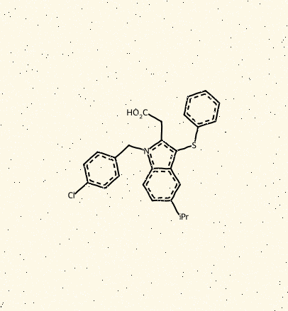 CC(C)c1ccc2c(c1)c(Sc1ccccc1)c(CC(=O)O)n2Cc1ccc(Cl)cc1